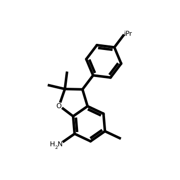 Cc1cc(N)c2c(c1)C(c1ccc(C(C)C)cc1)C(C)(C)O2